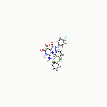 CN(c1nc(C(=O)Nc2ccc(F)cc2)c(O)c(=O)n1C)C(c1ccccc1)c1ccccc1Cl